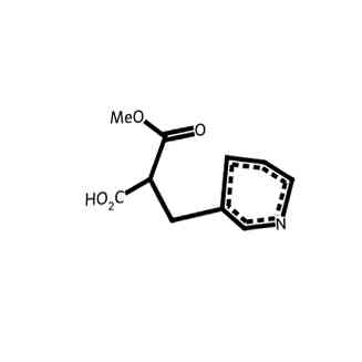 COC(=O)C(Cc1cccnc1)C(=O)O